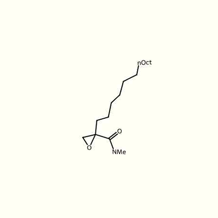 CCCCCCCCCCCCCCC1(C(=O)NC)CO1